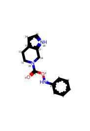 O=C(ONc1ccccc1)N1CCc2cc[nH]c2C1